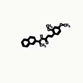 COc1ccc(C=CC(=O)NC(C)c2ccc3ccccc3c2)c(OC)c1